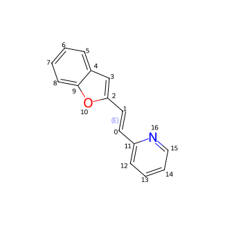 C(=C\c1cc2ccccc2o1)/c1ccccn1